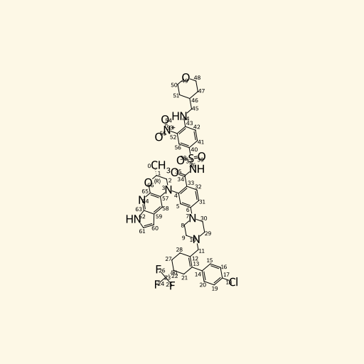 C[C@@H]1CN(c2cc(N3CCN(CC4=C(c5ccc(Cl)cc5)C[C@H](C(F)(F)F)CC4)CC3)ccc2C(=O)NS(=O)(=O)c2ccc(NCC3CCOCC3)c([N+](=O)[O-])c2)c2cc3cc[nH]c3nc2O1